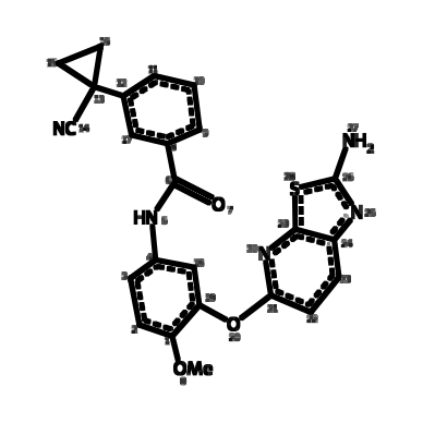 COc1ccc(NC(=O)c2cccc(C3(C#N)CC3)c2)cc1Oc1ccc2nc(N)sc2n1